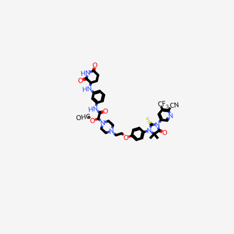 CC1(C)C(=O)N(c2cnc(C#N)c(C(F)(F)F)c2)C(=S)N1c1ccc(OCCN2CCN(C(OC=O)C(=O)Nc3cccc(NC4CCC(=O)NC4=O)c3)CC2)cc1